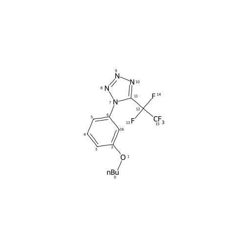 CCCCOc1cccc(-n2nnnc2C(F)(F)C(F)(F)F)c1